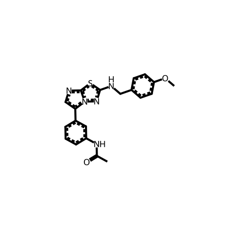 COc1ccc(CNc2nn3c(-c4cccc(NC(C)=O)c4)cnc3s2)cc1